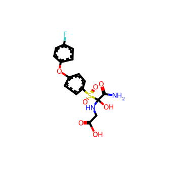 NC(=O)C(O)(NCC(=O)O)S(=O)(=O)c1ccc(Oc2ccc(F)cc2)cc1